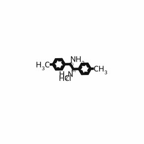 Cc1ccc([C@H](N)[C@@H](N)c2ccc(C)cc2)cc1.Cl